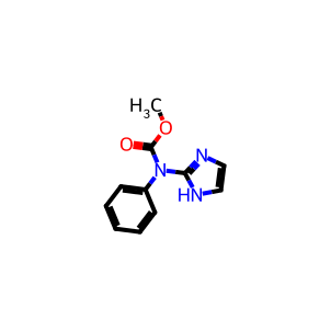 COC(=O)N(c1ccccc1)c1ncc[nH]1